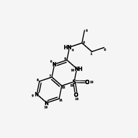 CCC(C)NC1=Nc2cnncc2S(=O)(=O)N1